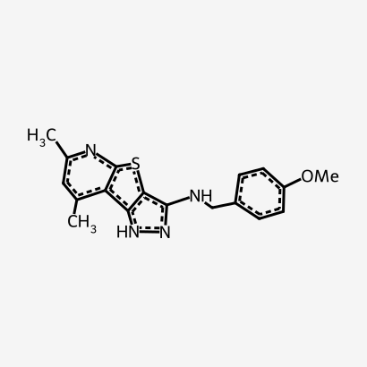 COc1ccc(CNc2n[nH]c3c2sc2nc(C)cc(C)c23)cc1